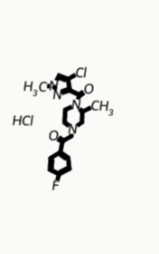 CC1CN(CC(=O)c2ccc(F)cc2)CCN1C(=O)c1nn(C)cc1Cl.Cl